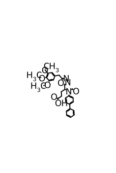 COc1cc(Cc2nnc(C(CCC(=O)O)N(C=O)c3ccc(-c4ccccc4)cc3)o2)cc(OC)c1OC